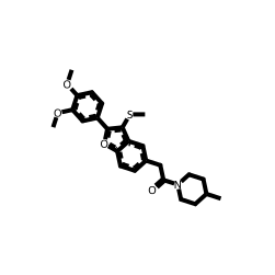 COc1ccc(-c2oc3ccc(CC(=O)N4CCC(C)CC4)cc3c2SC)cc1OC